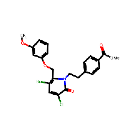 COC(=O)c1ccc(CCn2c(COc3cccc(OC(F)(F)F)c3)c(Br)cc(Cl)c2=O)cc1